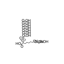 CCCCCCC(OCC)C(=O)O.O=CO.O=CO.O=CO.O=CO.O=CO.O=CO.O=CO.O=CO.O=CO